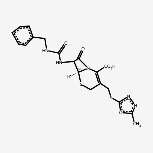 Cc1nnc(SCC2=C(C(=O)O)N3C(=O)C(NC(=O)NCc4ccccc4)[C@@H]3SC2)o1